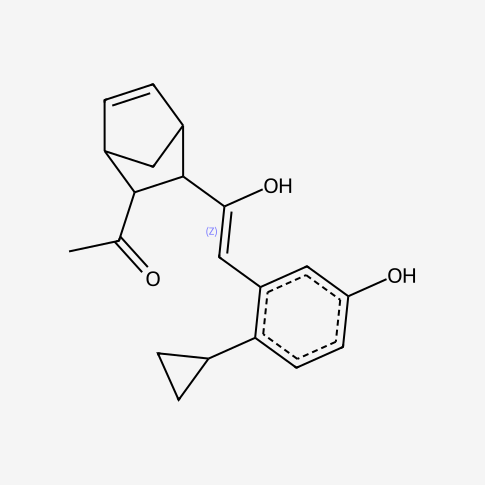 CC(=O)C1C2C=CC(C2)C1/C(O)=C/c1cc(O)ccc1C1CC1